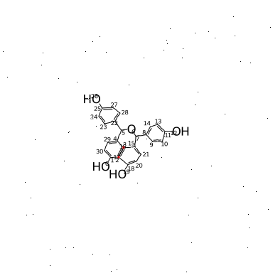 Oc1ccc(C(OC(c2ccc(O)cc2)c2ccc(O)cc2)c2ccc(O)cc2)cc1